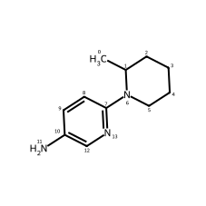 CC1CCCCN1c1ccc(N)cn1